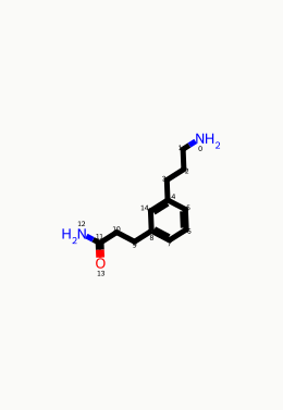 NCCCc1cccc(CCC(N)=O)c1